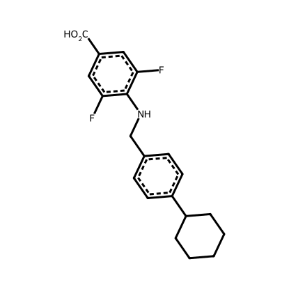 O=C(O)c1cc(F)c(NCc2ccc(C3CCCCC3)cc2)c(F)c1